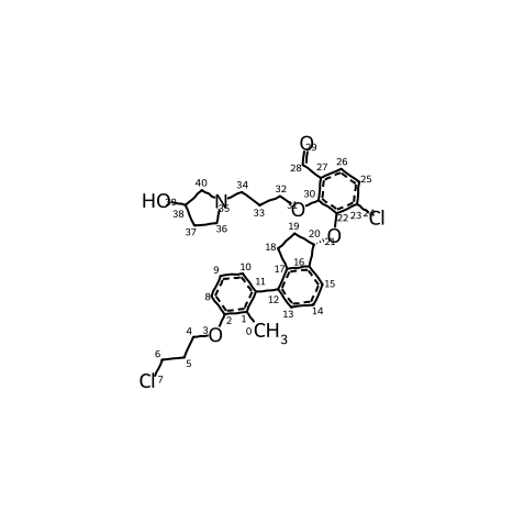 Cc1c(OCCCCl)cccc1-c1cccc2c1CC[C@@H]2Oc1c(Cl)ccc(C=O)c1OCCCN1CCC(O)C1